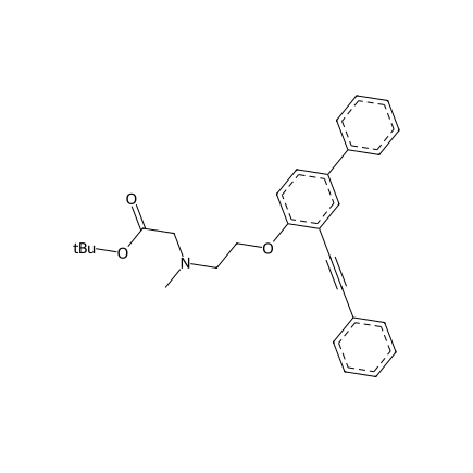 CN(CCOc1ccc(-c2ccccc2)cc1C#Cc1ccccc1)CC(=O)OC(C)(C)C